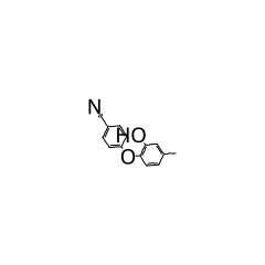 Cc1ccc(Oc2ccc(C#N)cc2)c(O)c1